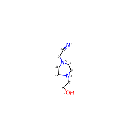 N#CCN1CCN(CCO)CC1